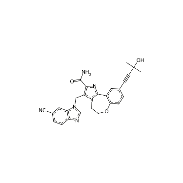 CC(C)(O)C#Cc1ccc2c(c1)-c1nc(C(N)=O)c(Cn3cnc4ccc(C#N)cc43)n1CCO2